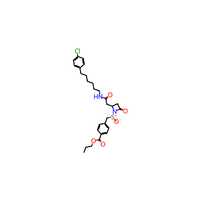 CCCOC(=O)c1ccc(C[S+]([O-])N2C(=O)CC2CC(=O)NCCCCCCc2ccc(Cl)cc2)cc1